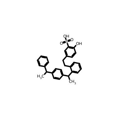 CC(c1ccccc1)c1ccc(C(C)c2ccccc2CCc2ccc(O)c(S(=O)(=O)O)c2)cc1